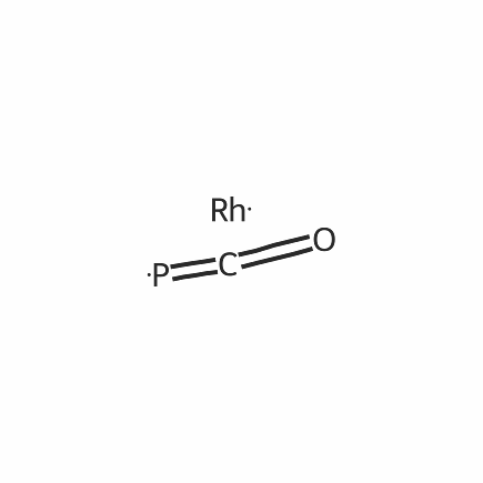 O=C=[P].[Rh]